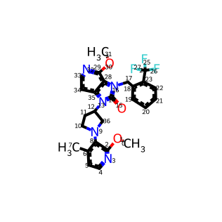 COc1nccc(C)c1N1CCC(n2c(=O)n(Cc3ccccc3C(F)(F)F)c3c(OC)nccc32)C1